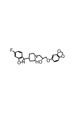 O[C@H](COc1ccc2c(c1)OCO2)CN1CCC(c2noc3cc(F)ccc23)CC1